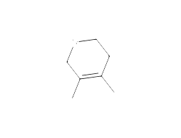 CC1=C(C)CNCC1